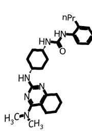 CCCc1ccccc1NC(=O)N[C@H]1CC[C@@H](Nc2nc3c(c(N(C)C)n2)CCCC3)CC1